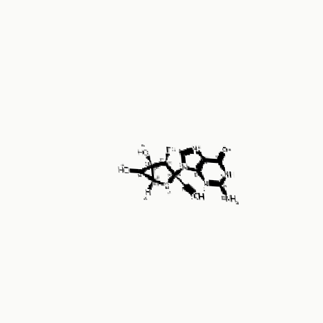 C#C[C@@]1(n2cnc3c(=O)[nH]c(N)nc32)O[C@@H]2C(O)[C@]2(O)[C@H]1F